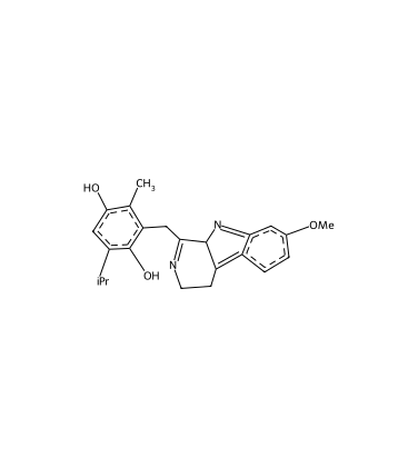 COc1ccc2c(c1)=NC1C(Cc3c(C)c(O)cc(C(C)C)c3O)=NCCC=21